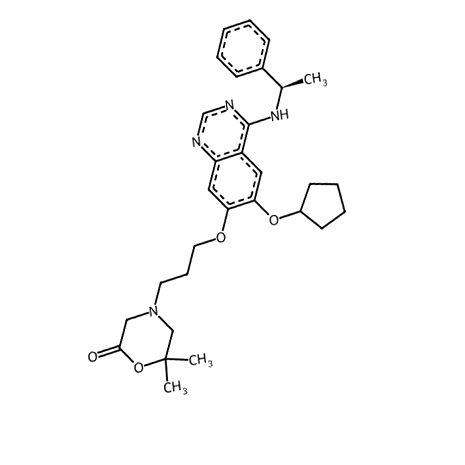 C[C@@H](Nc1ncnc2cc(OCCCN3CC(=O)OC(C)(C)C3)c(OC3CCCC3)cc12)c1ccccc1